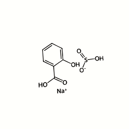 O=C(O)c1ccccc1O.O=S([O-])O.[Na+]